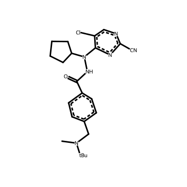 CN(Cc1ccc(C(=O)NN(c2nc(C#N)ncc2Cl)C2CCCC2)cc1)C(C)(C)C